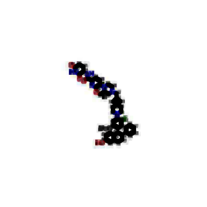 COc1cc(N2CCC3(CC2)CC(CN2CCN4c5ccc(C(=O)N[C@H]6CCC(=O)NC6=O)nc5OC[C@@H]4C2)C3)c(F)cc1[C@@H]1c2ccc(O)cc2CC[C@@H]1c1ccccc1